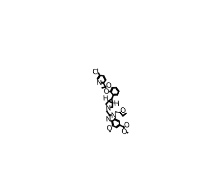 COC(=O)c1cc(OC)c2nc(CN3C[C@@H]4C(c5cccc6c5OC(C)(c5ccc(Cl)cn5)O6)[C@@H]4C3)n(C[C@@H]3CCO3)c2c1